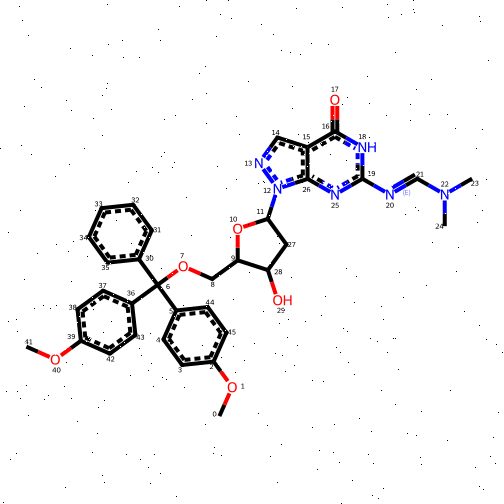 COc1ccc(C(OCC2OC(n3ncc4c(=O)[nH]c(/N=C/N(C)C)nc43)CC2O)(c2ccccc2)c2ccc(OC)cc2)cc1